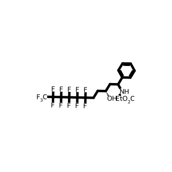 CCOC(=O)NC(C[C@H](O)CCC(F)(F)C(F)(F)C(F)(F)C(F)(F)C(F)(F)C(F)(F)F)c1ccccc1